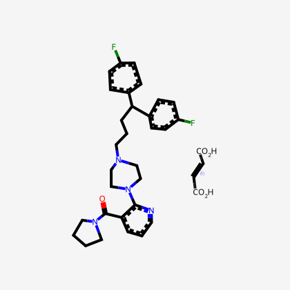 O=C(O)/C=C/C(=O)O.O=C(c1cccnc1N1CCN(CCCC(c2ccc(F)cc2)c2ccc(F)cc2)CC1)N1CCCC1